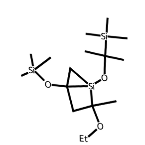 CCOC1(C)CC2(O[Si](C)(C)C)C[Si]12OC(C)(C)[Si](C)(C)C